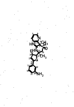 C[C@@]1(c2ccccn2)C(=N)N[C@](C)(C2SC(c3cccc(N)c3)=CC2F)CS1(=O)=O